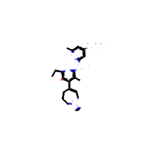 [2H]C([2H])([2H])N1CC=C(c2c(C)c(Nc3cc(NC)cc(C)n3)nc3c2OCC3)CCC1